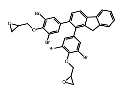 Brc1cc(-c2ccc3c(c2-c2cc(Br)c(OCC4CO4)c(Br)c2)Cc2ccccc2-3)cc(Br)c1OCC1CO1